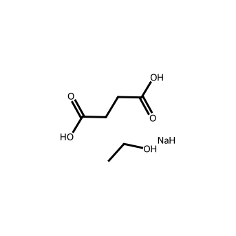 CCO.O=C(O)CCC(=O)O.[NaH]